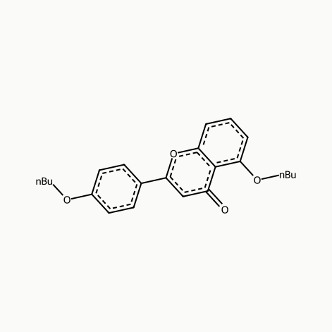 CCCCOc1ccc(-c2cc(=O)c3c(OCCCC)cccc3o2)cc1